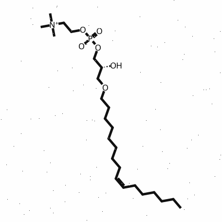 CCCCCC/C=C\CCCCCCCCOC[C@@H](O)COP(=O)([O-])OCC[N+](C)(C)C